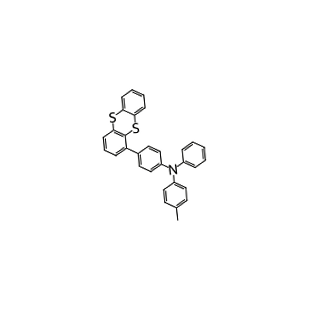 Cc1ccc(N(c2ccccc2)c2ccc(-c3cccc4c3Sc3ccccc3S4)cc2)cc1